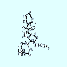 COc1ccc2c(ccn2S(=O)(=O)c2ccccc2)c1N1CCNCC1